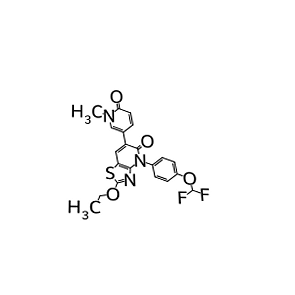 CCOc1nc2c(cc(-c3ccc(=O)n(C)c3)c(=O)n2-c2ccc(OC(F)F)cc2)s1